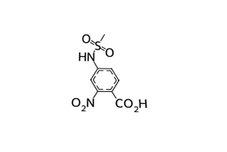 CS(=O)(=O)Nc1ccc(C(=O)O)c([N+](=O)[O-])c1